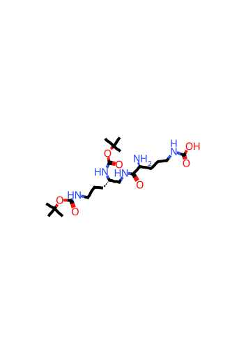 CC(C)(C)OC(=O)NCCC[C@@H](CNC(=O)[C@@H](N)CCCNC(=O)O)NC(=O)OC(C)(C)C